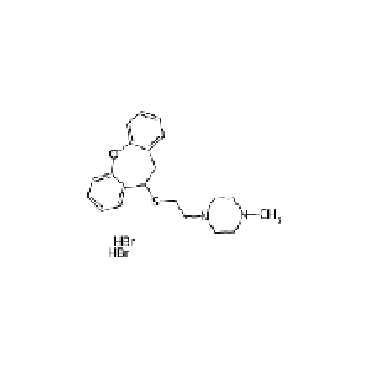 Br.Br.CN1CCN(CCSC2Cc3ccccc3Oc3ccccc32)CC1